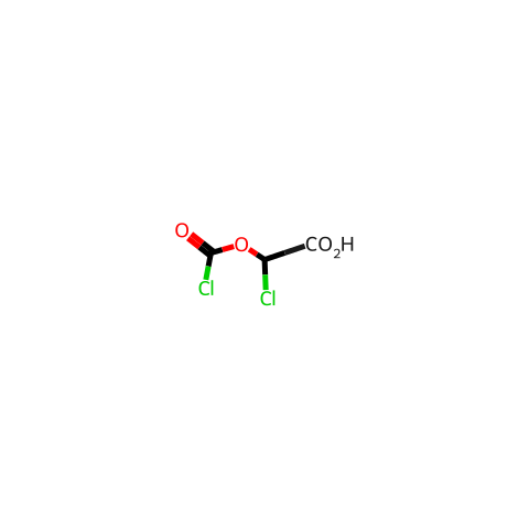 O=C(Cl)OC(Cl)C(=O)O